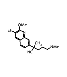 CCc1cc2ccc(C(C)(C#N)CCCNC)cc2nc1OC